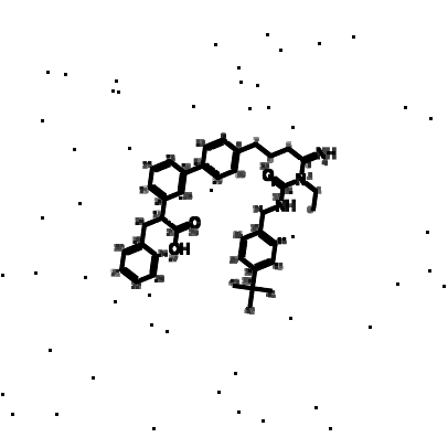 CCN(C(=N)CCCc1ccc(-c2cccc(C(Cc3ccccc3)C(=O)O)c2)cc1)C(=O)NCc1ccc(C(C)(C)C)cc1